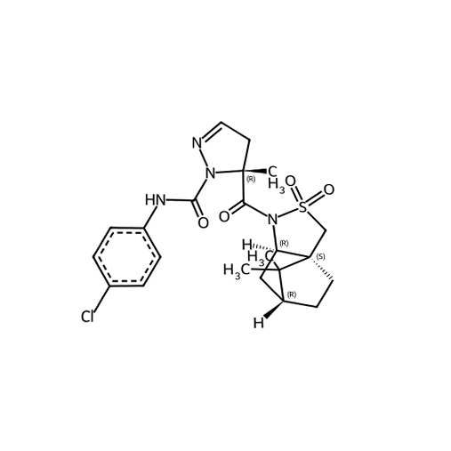 CC1(C)[C@@H]2CC[C@]13CS(=O)(=O)N(C(=O)[C@@]1(C)CC=NN1C(=O)Nc1ccc(Cl)cc1)[C@@H]3C2